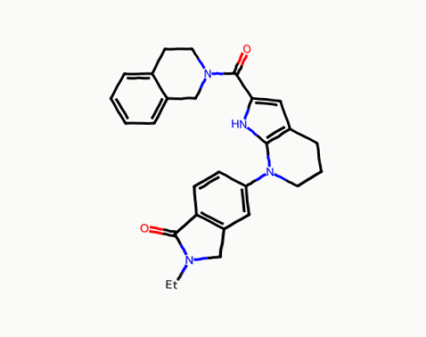 CCN1Cc2cc(N3CCCc4cc(C(=O)N5CCc6ccccc6C5)[nH]c43)ccc2C1=O